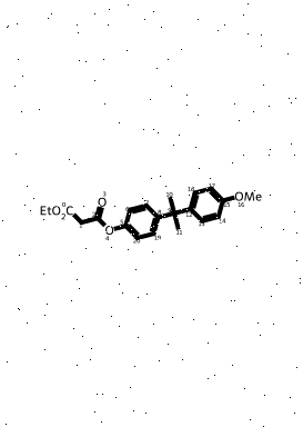 CCOC(=O)CC(=O)Oc1ccc(C(C)(C)c2ccc(OC)cc2)cc1